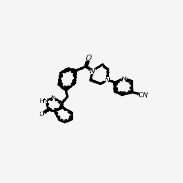 N#Cc1ccc(N2CCN(C(=O)c3cccc(Cc4n[nH]c(=O)c5ccccc45)c3)CC2)nc1